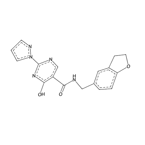 O=C(NCc1ccc2c(c1)CCO2)c1cnc(-n2cccn2)nc1O